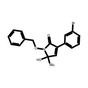 CC(C)(C)C1(O)C=C(c2cccc(Br)c2)C(=O)N1OCc1ccccc1